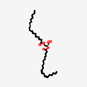 CCCCC/C=C\C/C=C\CCCCCCCCCC(=O)O[C@@H](CO)COC(=O)CCCCCCC/C=C\CCCCCCCC